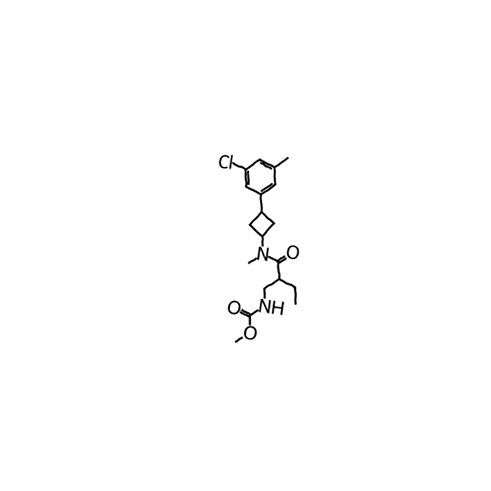 CCC(CNC(=O)OC)C(=O)N(C)C1CC(c2cc(C)cc(Cl)c2)C1